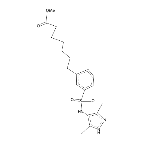 COC(=O)CCCCCCc1cccc(S(=O)(=O)Nc2c(C)n[nH]c2C)c1